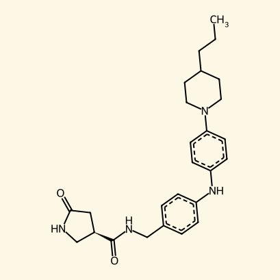 CCCC1CCN(c2ccc(Nc3ccc(CNC(=O)[C@H]4CNC(=O)C4)cc3)cc2)CC1